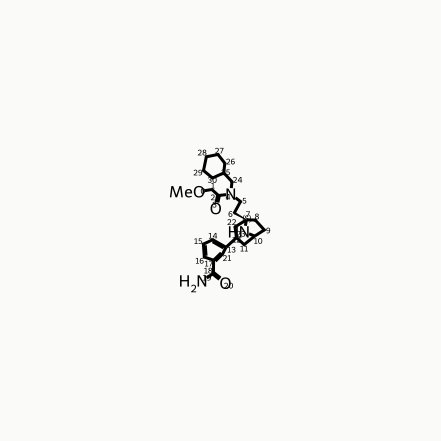 COCC(=O)N(CC[C@]12CCC(CC(c3cccc(C(N)=O)c3)C1)N2)CC1CCCCC1